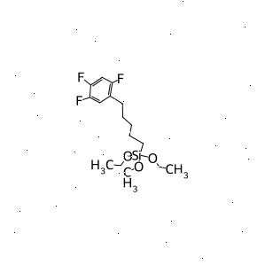 CCO[Si](CCCCCc1cc(F)c(F)cc1F)(OC)OCC